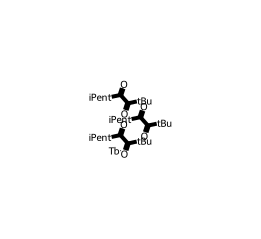 CCCC(C)C(=O)C(=O)C(C)(C)C.CCCC(C)C(=O)C(=O)C(C)(C)C.CCCC(C)C(=O)C(=O)C(C)(C)C.[Tb]